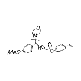 C=Cc1ccc(OC(=O)CO/N=C(/c2ccc(SC)cc2)C(C)(C)N2CCOCC2)cc1